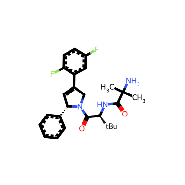 CC(C)(N)C(=O)N[C@H](C(=O)N1CC(c2cc(F)ccc2F)=C[C@H]1c1ccccc1)C(C)(C)C